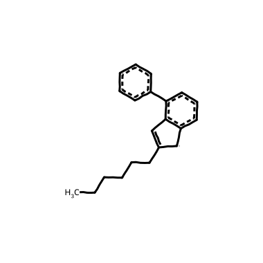 CCCCCCC1=Cc2c(cccc2-c2ccccc2)[CH]1